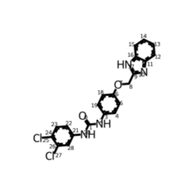 O=C(Nc1ccc(OCc2nc3ccccc3[nH]2)cc1)Nc1ccc(Cl)c(Cl)c1